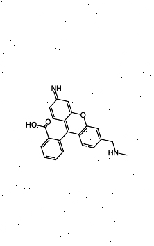 CNCc1ccc2c(-c3ccccc3C(=O)O)c3ccc(=N)cc-3oc2c1